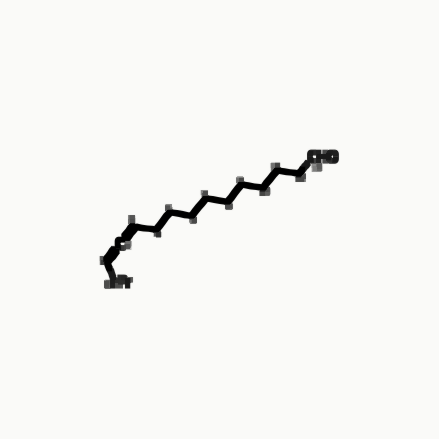 CCCC=C=CCCCCCCCCCC=O